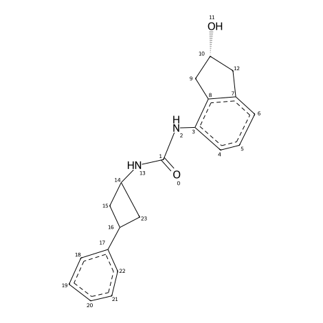 O=C(Nc1cccc2c1C[C@H](O)C2)NC1CC(c2ccccc2)C1